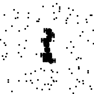 NC[C@H](NC(=O)c1ccc(-c2ccc(NC(=O)CNC3C[C@H]4CC[C@@H]3C4)cc2)cc1)C(=O)NO